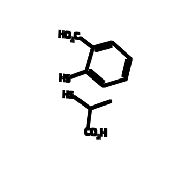 CC(S)C(=O)O.O=C(O)c1ccccc1S